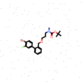 CN(CCCOCc1ccccc1-c1ccc(Br)c(F)c1)C(=O)OC(C)(C)C